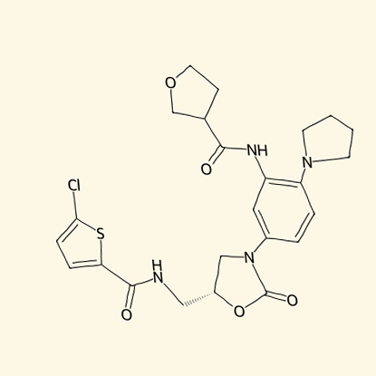 O=C(NC[C@@H]1CN(c2ccc(N3CCCC3)c(NC(=O)C3CCOC3)c2)C(=O)O1)c1ccc(Cl)s1